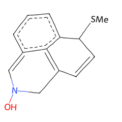 CSC1C=CC2=c3c1cccc3=CN(O)C2